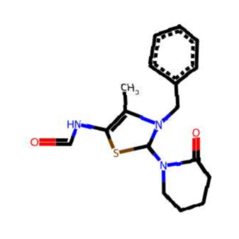 CC1=C(NC=O)SC(N2CCCCC2=O)N1Cc1ccccc1